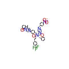 CC(=O)N1CCN(c2ccc(CN(C(=O)/C=C/c3ccc(C(F)(F)F)cc3)[C@@H](Cc3ccccc3)C(=O)N3CCN(Cc4ccc([N+](=O)[O-])cc4)CC3)cc2)CC1